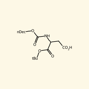 CCCCCCCCCCOC(=O)NC(CC(=O)O)C(=O)OC(C)(C)C